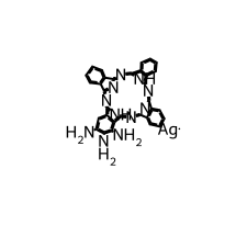 Nc1cc2c3nc4nc(nc5[nH]c(nc6nc(nc([nH]3)c2c(N)c1N)-c1ccccc1-6)c1ccccc51)-c1ccccc1-4.[Ag]